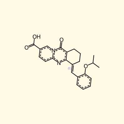 CC(C)Oc1ccccc1/C=C1\CCCc2c1nc1ccc(C(=O)O)cn1c2=O